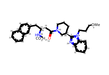 COCCCn1c([C@@H]2CCCN(C(=O)C[C@@H](Cc3ccc4ccccc4c3)NC(=O)O)C2)nc2ccccc21